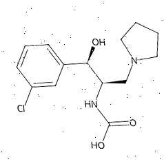 O=C(O)N[C@H](CN1CCCC1)[C@H](O)c1cccc(Cl)c1